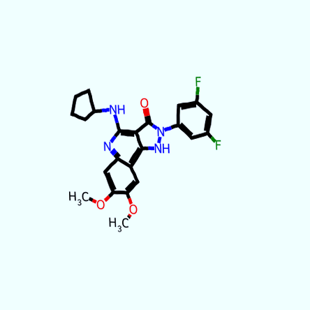 COc1cc2nc(NC3CCCC3)c3c(=O)n(-c4cc(F)cc(F)c4)[nH]c3c2cc1OC